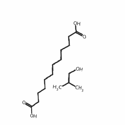 CC(C)CO.O=C(O)CCCCCCCCCCC(=O)O